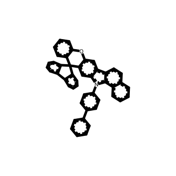 c1ccc(-c2ccc(-n3c4cc5c(cc4c4ccc6ccccc6c43)Oc3ccccc3C53c4ccccc4-c4ccccc43)cc2)cc1